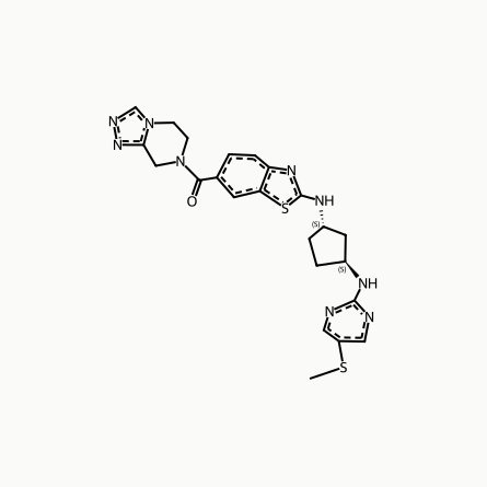 CSc1cnc(N[C@H]2CC[C@H](Nc3nc4ccc(C(=O)N5CCn6cnnc6C5)cc4s3)C2)nc1